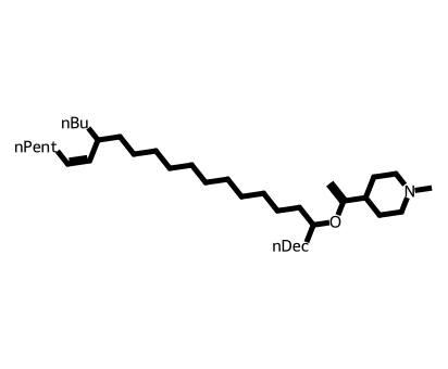 C=C(OC(CCCCCCCCCC)CCCCCCCCCCCC(/C=C\CCCCC)CCCC)C1CCN(C)CC1